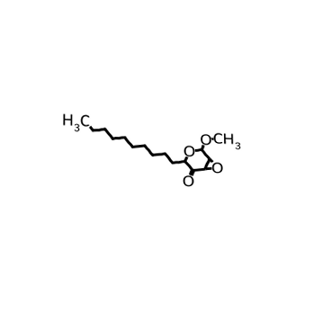 CCCCCCCCCCC1OC(OC)C2OC2C1=O